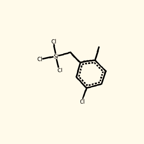 Cc1ccc(Cl)cc1C[Si](Cl)(Cl)Cl